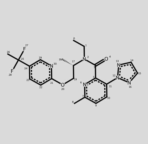 CCN(C(=O)c1nc(C)ccc1-n1nccn1)[C@@H](C)COc1ccc(C(C)(F)F)cn1